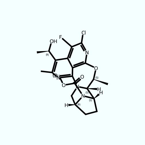 Cc1nc2c3c(nc(Cl)c(F)c3c1[C@@H](C)O)O[C@@H](C)[C@@H]1[C@@H]3CC[C@H](CN21)N3C(=O)OC(C)(C)C